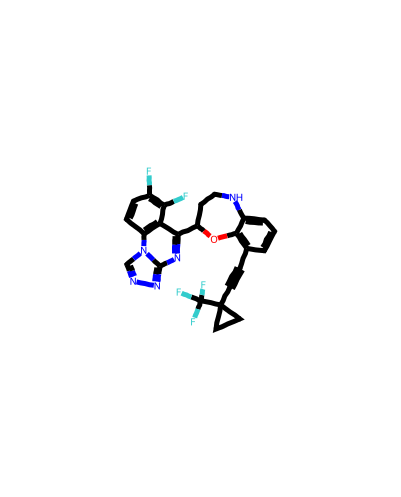 Fc1ccc2c(c(C3CCNc4cccc(C#CC5(C(F)(F)F)CC5)c4O3)nc3nncn32)c1F